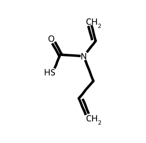 C=CCN(C=C)C(=O)S